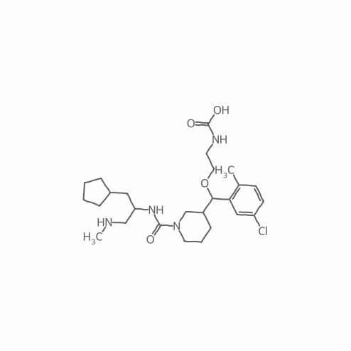 CNCC(CC1CCCC1)NC(=O)N1CCCC(C(OCCNC(=O)O)c2cc(Cl)ccc2C)C1